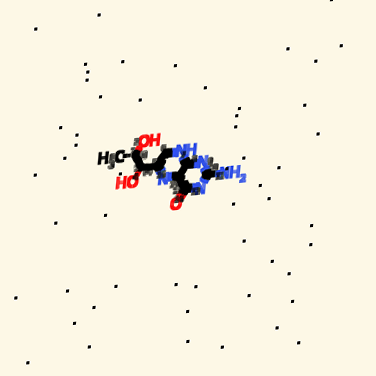 C[C@H](O)[C@H](O)c1c[nH]c2nc(N)nc(=O)c-2n1